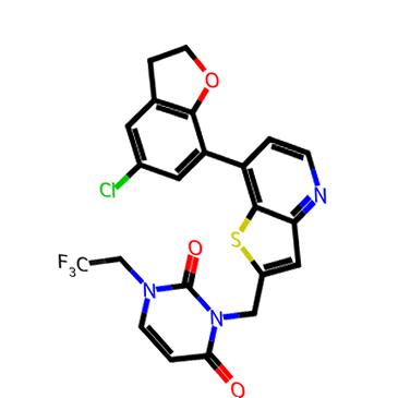 O=c1ccn(CC(F)(F)F)c(=O)n1Cc1cc2nccc(-c3cc(Cl)cc4c3OCC4)c2s1